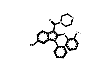 Cc1ccccc1Oc1c(C(=O)N2CCNCC2)c2ccc(O)cc2n1-c1ccccc1